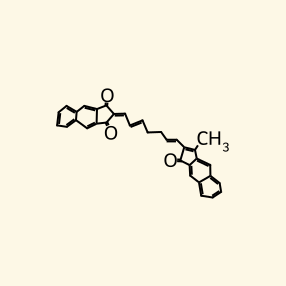 CC1=C(/C=C/CC/C=C/C=C2C(=O)c3cc4ccccc4cc3C2=O)C(=O)c2cc3ccccc3cc21